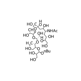 CCCCO[C@H](OC(CO)[C@H](C)O[C@@H](CO)OC(CO[C@@](O)(CC(O)[C@H](C[C@H](O)[C@H](O)CO)NC(C)=O)C(=O)O)[C@@H](C)O)C(O)CO